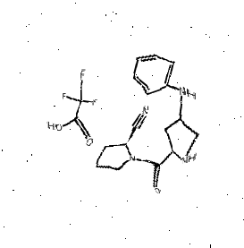 N#C[C@@H]1CCCN1C(=O)C1CC(Nc2ccccc2)CN1.O=C(O)C(F)(F)F